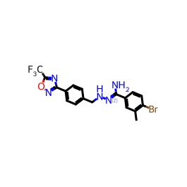 Cc1cc(/C(N)=N/NCc2ccc(-c3noc(C(F)(F)F)n3)cc2)ccc1Br